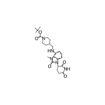 Cn1c(=O)n(C2CCC(=O)NC2=O)c2cccc(NCC3CCN(C(=O)OC(C)(C)C)CC3)c21